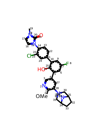 COc1ncc(-c2cc(F)cc(-c3ccc(-n4ccn(C)c4=O)c(Cl)c3)c2O)cc1N1CC2CCC(C1)N2C(C)C